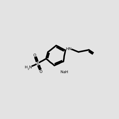 C=CCNc1ccc(S(N)(=O)=O)cc1.[NaH]